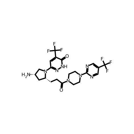 N[C@H]1C[C@@H](CCC(=O)N2CCN(c3ncc(C(F)(F)F)cn3)CC2)N(c2cc(C(F)(F)F)c(=O)[nH]n2)C1